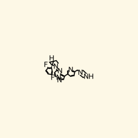 Fc1ccc(F)c([C@@]23C[C@@H]2CCN3c2ccn3ncc(-c4ccc(CN5CCNCC5)nc4)c3n2)c1